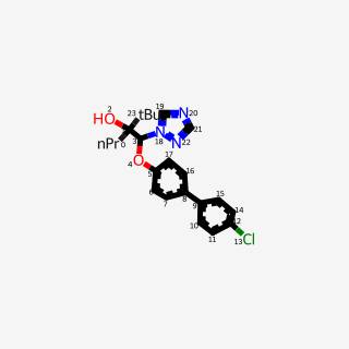 CCCC(O)(C(Oc1ccc(-c2ccc(Cl)cc2)cc1)n1cncn1)C(C)(C)C